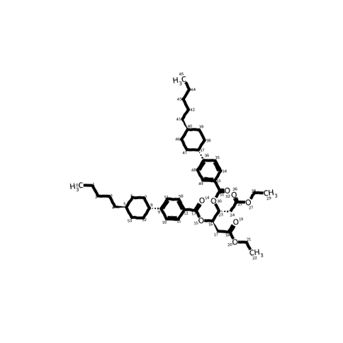 CCCCC[C@H]1CC[C@H](c2ccc(C(=O)O[C@H](CC(=O)OCC)[C@@H](CC(=O)OCC)OC(=O)c3ccc([C@H]4CC[C@H](CCCCC)CC4)cc3)cc2)CC1